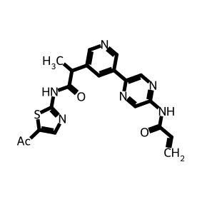 C=CC(=O)Nc1cnc(-c2cncc(C(C)C(=O)Nc3ncc(C(C)=O)s3)c2)cn1